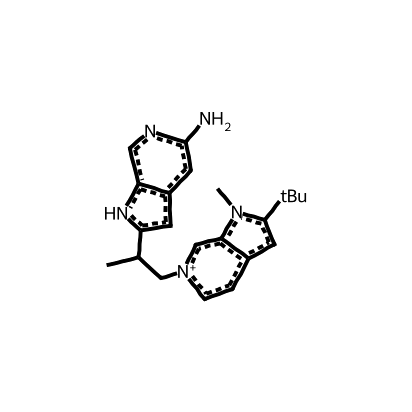 CC(C[n+]1ccc2cc(C(C)(C)C)n(C)c2c1)c1cc2cc(N)ncc2[nH]1